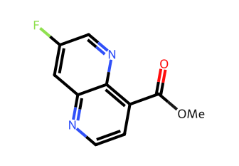 COC(=O)c1ccnc2cc(F)cnc12